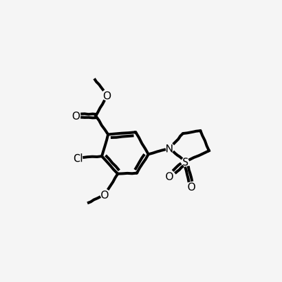 COC(=O)c1cc(N2CCCS2(=O)=O)cc(OC)c1Cl